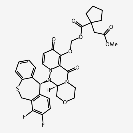 COC(=O)CC1(C(=O)OCOc2c3n(ccc2=O)N([C@@H]2c4ccccc4SCc4c2ccc(F)c4F)[C@@H]2COCCN2C3=O)CCCC1